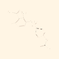 CCC(=O)Nc1ccc(S(=O)(=O)Nc2ccc(C)c3c(C#N)c[nH]c23)cc1